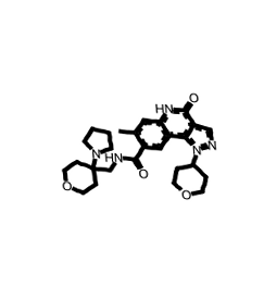 Cc1cc2[nH]c(=O)c3cnn(C4CCOCC4)c3c2cc1C(=O)NCC1(N2CCCC2)CCOCC1